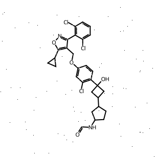 O=CNC1CCC(C2CC(O)(c3ccc(OCc4c(-c5c(Cl)cccc5Cl)noc4C4CC4)cc3Cl)C2)C1